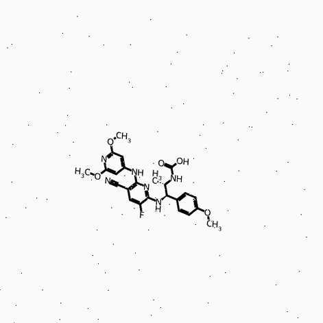 COc1ccc([C@@H](Nc2nc(Nc3cc(OC)nc(OC)c3)c(C#N)cc2F)[C@H](C)NC(=O)O)cc1